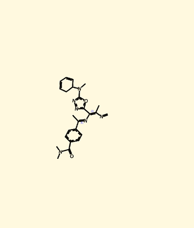 C=N/C(C)=C(\N=C(/C)c1ccc(C(=O)N(C)C)cc1)c1nnc(N(C)C2C=CC=CC2)o1